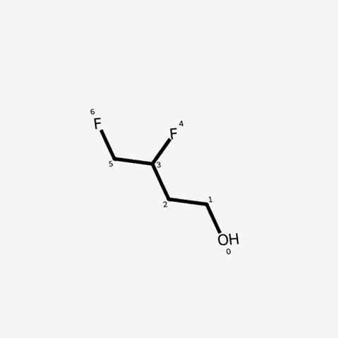 OCCC(F)CF